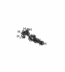 Cc1ncsc1-c1ccc([C@H](C)NC(=O)[C@@H]2C[C@@H](O)CN2C(=O)[C@@H](NC(=O)CCCNC(=O)CC(=O)N2CCN(C(=O)[C@@H](NC(=O)c3cc4cc(C(F)(F)P(=O)(O)O)ccc4s3)C(C)(C)C)[C@H](C(=O)N3CCO[C@H](c4ccccc4)C3)C2)C(C)(C)C)cc1